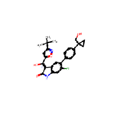 CC(C)(C)c1cc(/C(O)=C2/C(=O)Nc3cc(Cl)c(-c4ccc(C5(CO)CC5)cc4)cc32)on1